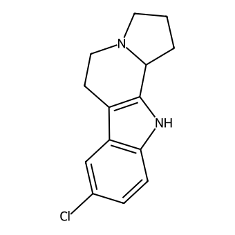 Clc1ccc2[nH]c3c(c2c1)CCN1CCCC31